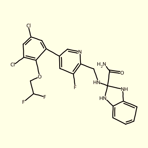 NC(=O)C1(NCc2ncc(-c3cc(Cl)cc(Cl)c3OCC(F)F)cc2F)Nc2ccccc2N1